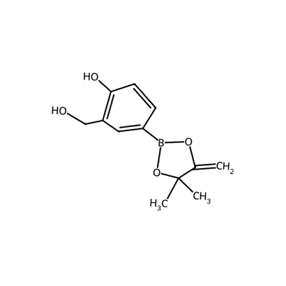 C=C1OB(c2ccc(O)c(CO)c2)OC1(C)C